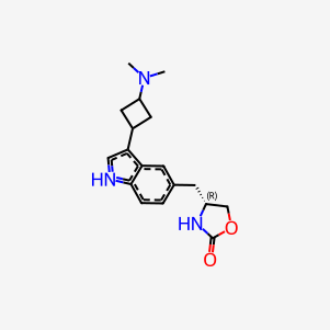 CN(C)C1CC(c2c[nH]c3ccc(C[C@@H]4COC(=O)N4)cc23)C1